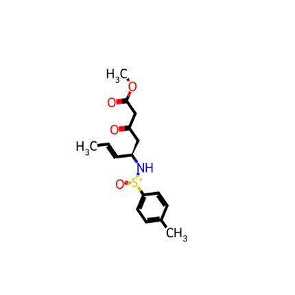 CC=C[C@@H](CC(=O)CC(=O)OC)N[S+]([O-])c1ccc(C)cc1